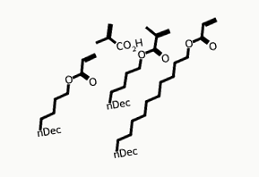 C=C(C)C(=O)O.C=C(C)C(=O)OCCCCCCCCCCCCCC.C=CC(=O)OCCCCCCCCCCCCCC.C=CC(=O)OCCCCCCCCCCCCCCCCCCCC